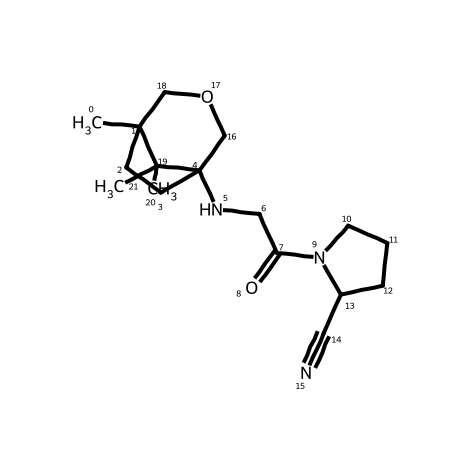 CC12CCC(NCC(=O)N3CCCC3C#N)(COC1)C2(C)C